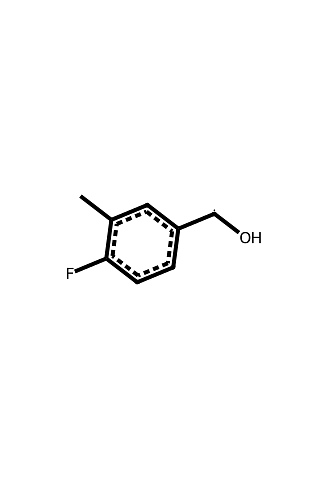 Cc1cc([CH]O)ccc1F